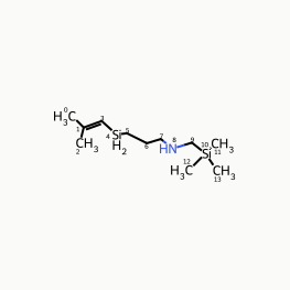 CC(C)=C[SiH2]CCCNC[Si](C)(C)C